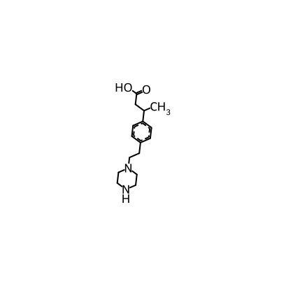 CC(CC(=O)O)c1ccc(CCN2CCNCC2)cc1